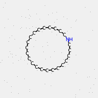 C1CCCCCCCCCCCNCCCCCCCCCCC1